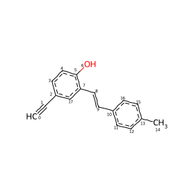 C#Cc1ccc(O)c(C=Cc2ccc(C)cc2)c1